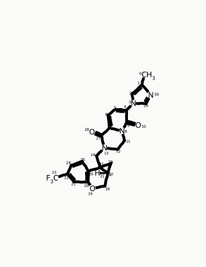 Cc1cn(-c2ccc3n(c2=O)CCN(CC24C[C@@H]2COc2cc(C(F)(F)F)ccc24)C3=O)cn1